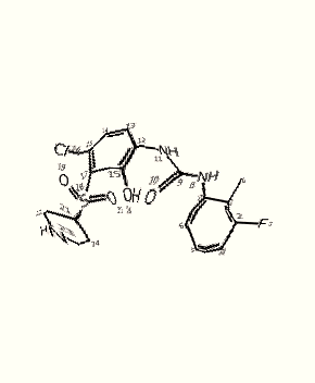 Cc1c(F)cccc1NC(=O)Nc1ccc(Cl)c(S(=O)(=O)C2CNC2)c1O